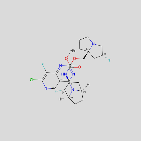 CC(C)(C)OC(=O)N[C@H]1C[C@H]2CC[C@@H]([C@@H]1F)N2c1nc(OC[C@@]23CCCN2C[C@H](F)C3)nc2c(F)c(Cl)ncc12